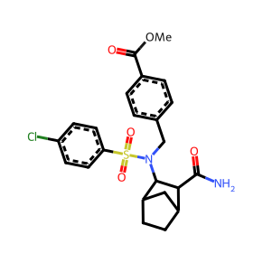 COC(=O)c1ccc(CN(C2C3CCC(C3)C2C(N)=O)S(=O)(=O)c2ccc(Cl)cc2)cc1